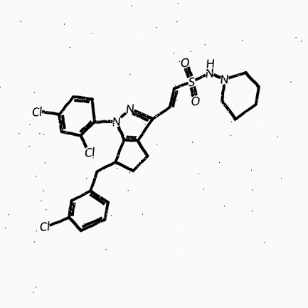 O=S(=O)(/C=C/c1nn(-c2ccc(Cl)cc2Cl)c2c1CCC2Cc1cccc(Cl)c1)NN1CCCCC1